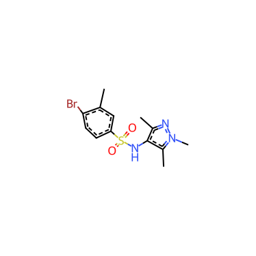 Cc1cc(S(=O)(=O)Nc2c(C)nn(C)c2C)ccc1Br